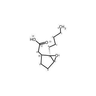 CCCCC[C@]12OC1CCC2CC(=O)O